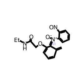 C=C1C=CC=C(OCC(=O)NCC)/C1=[N+](\[O-])c1ccccc1N=O